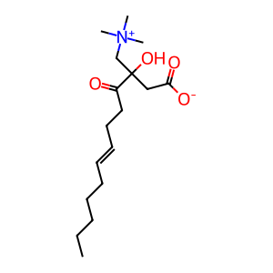 CCCCCC=CCCC(=O)C(O)(CC(=O)[O-])C[N+](C)(C)C